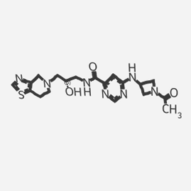 CC(=O)N1CC(Nc2cc(C(=O)NC[C@H](O)CN3CCc4scnc4C3)ncn2)C1